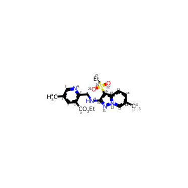 CCOC(=O)c1cc(C)cnc1CNc1nn2cc(C(F)(F)F)ccc2c1S(=O)(=O)CC